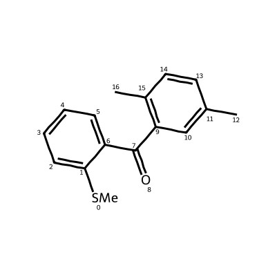 CSc1ccccc1C(=O)c1cc(C)ccc1C